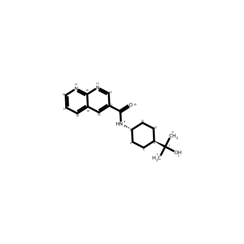 CC(C)(O)[C@H]1CC[C@H](NC(=O)c2cnc3ncccc3c2)CC1